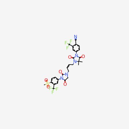 CC1(C)C(=O)N(c2ccc(C#N)c(C(F)(F)F)c2)C(=O)N1C/C=C\CN1CC(=O)N(c2ccc(S(C)(=O)=O)c(C(F)(F)F)c2)C1=O